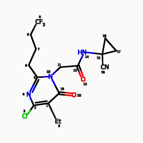 CCc1c(Cl)nc(CCCC(F)(F)F)n(CC(=O)NC2(C#N)CC2)c1=O